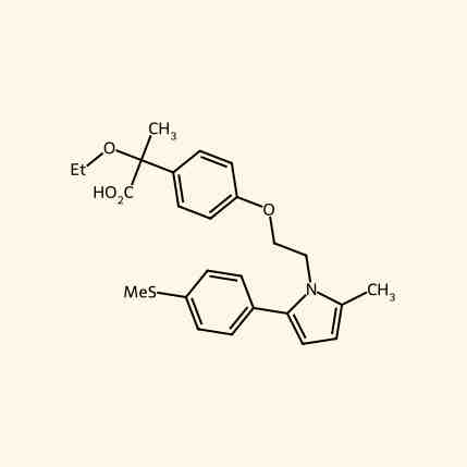 CCOC(C)(C(=O)O)c1ccc(OCCn2c(C)ccc2-c2ccc(SC)cc2)cc1